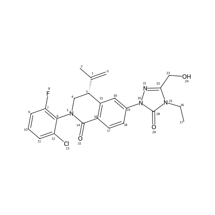 C=C(C)[C@H]1CN(c2c(F)cccc2Cl)C(=O)c2ccc(-n3nc(CO)n(CC)c3=O)cc21